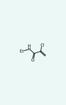 C=C(Cl)C(=O)NCC